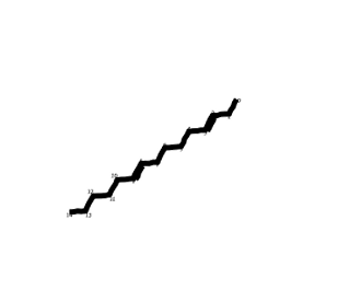 [CH2]CC=CCCCCC=CCCCCC